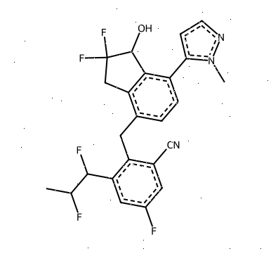 CC(F)C(F)c1cc(F)cc(C#N)c1Cc1ccc(-c2ccnn2C)c2c1CC(F)(F)C2O